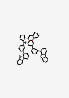 c1cc(-c2cccc(N(c3cccc(-c4cccc5c4sc4ccccc45)c3)c3ccccc3-c3ccc4ccccc4c3)c2)cc(-c2cccc3c2sc2ccccc23)c1